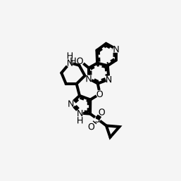 O=S(=O)(c1[nH]nc(C2CCNCC2)c1Oc1nc(O)c2ccncc2n1)C1CC1